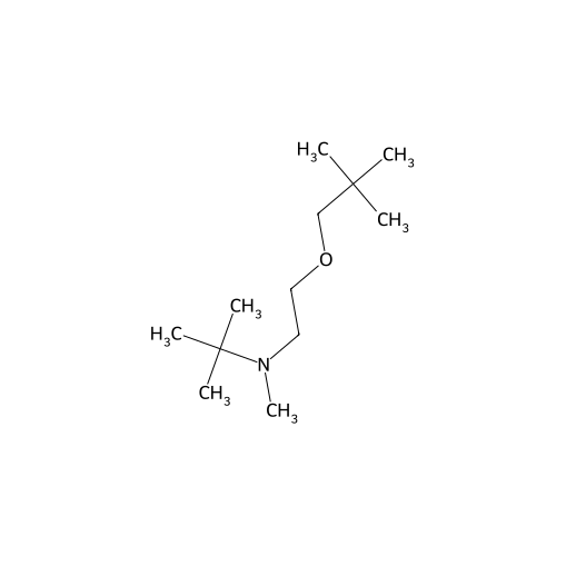 CN(CCOCC(C)(C)C)C(C)(C)C